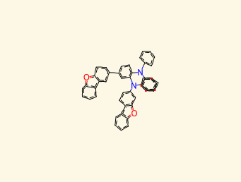 c1ccc(N(c2ccccc2)c2ccc(-c3ccc4oc5ccccc5c4c3)cc2N(c2ccccc2)c2ccc3c(c2)oc2ccccc23)cc1